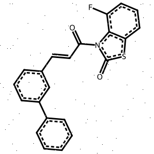 O=C(C=Cc1cccc(-c2ccccc2)c1)n1c(=O)sc2cccc(F)c21